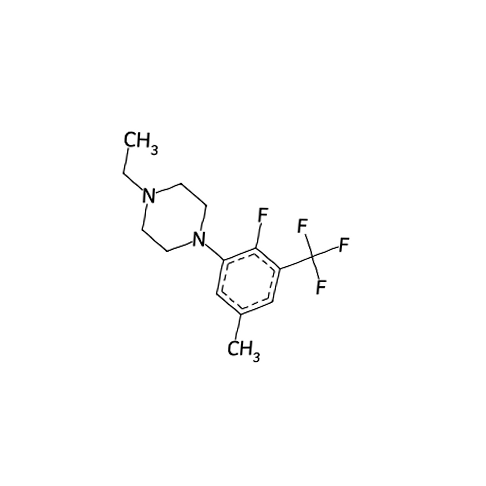 CCN1CCN(c2cc(C)cc(C(F)(F)F)c2F)CC1